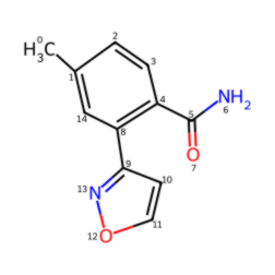 Cc1ccc(C(N)=O)c(-c2ccon2)c1